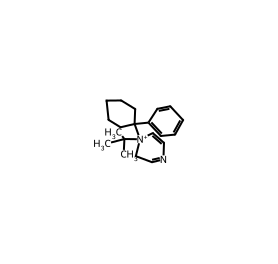 CC(C)(C)[N+]1(C2(c3ccccc3)CCCCC2)C=CN=CC1